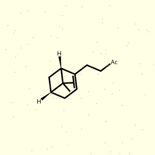 CC(=O)CCC1=CC[C@@H]2C[C@H]1C2(C)C